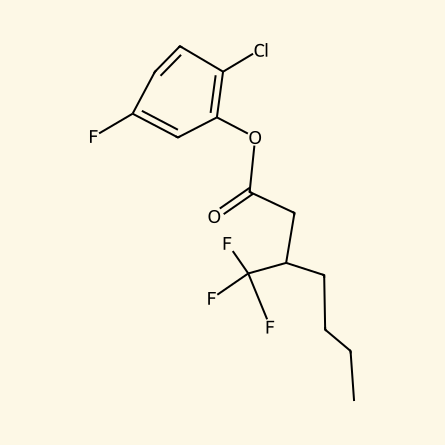 CCCCC(CC(=O)Oc1cc(F)ccc1Cl)C(F)(F)F